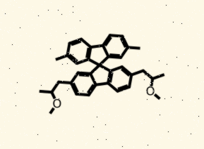 COC(C)Cc1ccc2c(c1)C1(c3cc(C)ccc3-c3ccc(C)cc31)c1cc(CC(C)OC)ccc1-2